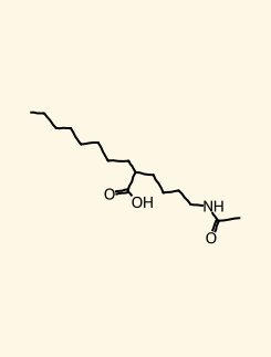 CCCCCCCCC(CCCCNC(C)=O)C(=O)O